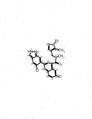 CCn1ncc(CN(C)C(=O)c2nc(-c3cc4n[nH]cc4cc3Cl)nc3ccc(Cl)cc23)c1C